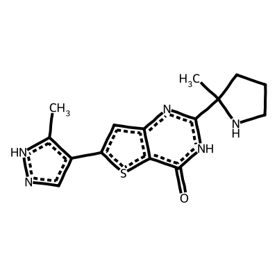 Cc1[nH]ncc1-c1cc2nc(C3(C)CCCN3)[nH]c(=O)c2s1